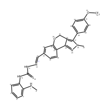 CPc1ccccc1NC(=S)N/N=C/c1ccc2c(c1)OCc1c-2nn(C)c1-c1ccc(OC(F)(F)F)cc1